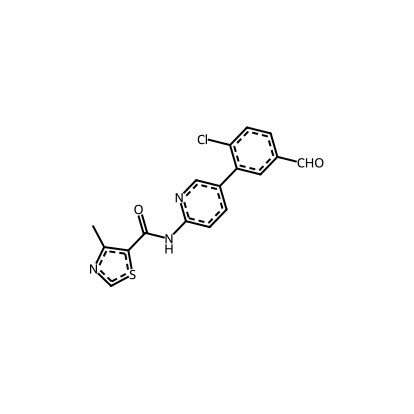 Cc1ncsc1C(=O)Nc1ccc(-c2cc(C=O)ccc2Cl)cn1